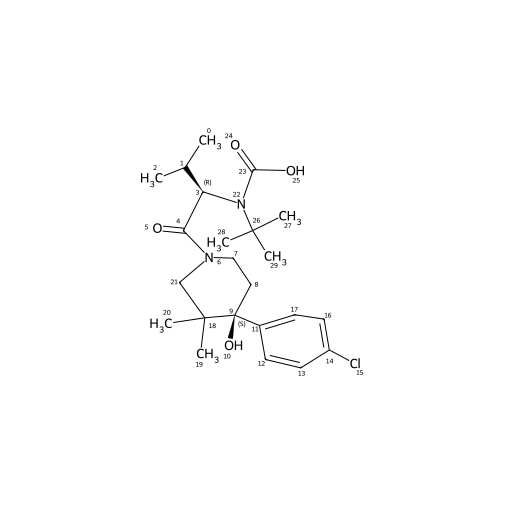 CC(C)[C@H](C(=O)N1CC[C@](O)(c2ccc(Cl)cc2)C(C)(C)C1)N(C(=O)O)C(C)(C)C